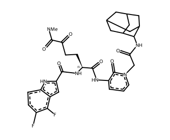 CNC(=O)C(=O)CC[C@H](NC(=O)c1cc2c(F)c(F)ccc2[nH]1)C(=O)Nc1cccn(CC(=O)NC2C3CC4CC(C3)CC2C4)c1=O